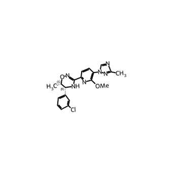 COc1nc(C2=NO[C@@H](C)[C@@H](c3cccc(Cl)c3)N2)ccc1-n1cnc(C)n1